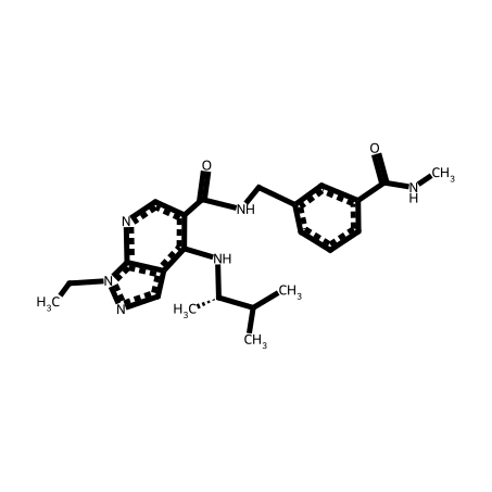 CCn1ncc2c(N[C@@H](C)C(C)C)c(C(=O)NCc3cccc(C(=O)NC)c3)cnc21